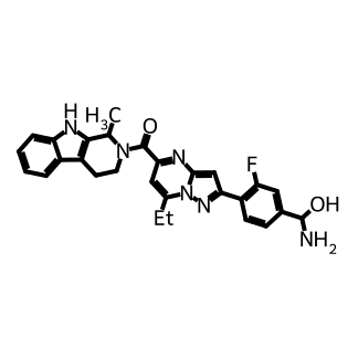 CCc1cc(C(=O)N2CCc3c([nH]c4ccccc34)C2C)nc2cc(-c3ccc(C(N)O)cc3F)nn12